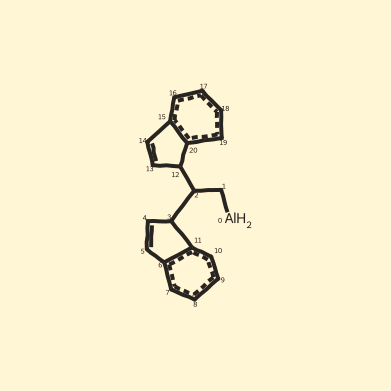 [AlH2][CH2]C(C1C=Cc2ccccc21)C1C=Cc2ccccc21